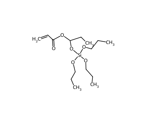 C=CC(=O)OC(CC)O[Si](OCCC)(OCCC)OCCC